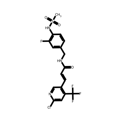 CS(=O)(=O)Nc1ccc(CNC(=O)C=Cc2cnc(Cl)cc2C(F)(F)F)cc1F